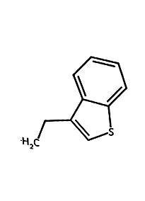 [CH2]Cc1csc2ccccc12